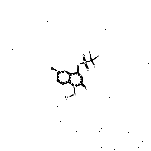 CPn1c(=O)cc(OS(=O)(=O)C(F)(F)F)c2nc(Br)ccc21